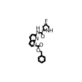 O=C(Nc1ccc2ccn(C(=O)OCc3ccccc3)c2n1)[C@H]1C[C@@H](F)CN1